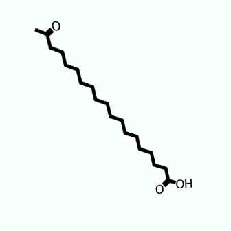 CC(=O)CCCCCCCCCCCCCCCCC(=O)O